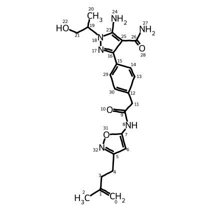 C=C(C)CCc1cc(NC(=O)Cc2ccc(-c3nn(C(C)CO)c(N)c3C(N)=O)cc2)on1